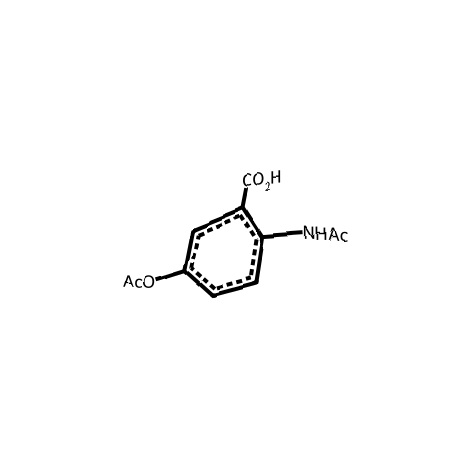 CC(=O)Nc1ccc(OC(C)=O)cc1C(=O)O